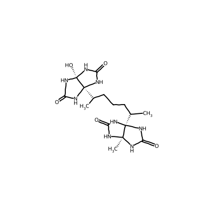 CC(CCCC(C)[C@]12NC(=O)N[C@@]1(O)NC(=O)N2)[C@]12NC(=O)N[C@@]1(C)NC(=O)N2